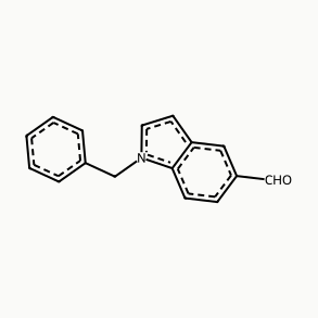 O=Cc1ccc2c(ccn2Cc2ccccc2)c1